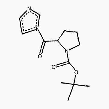 CC(C)(C)OC(=O)N1CCCC1C(=O)n1ccnc1